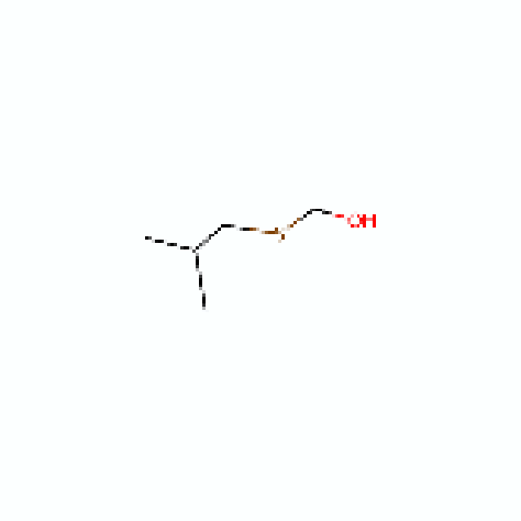 CC(C)CSCO